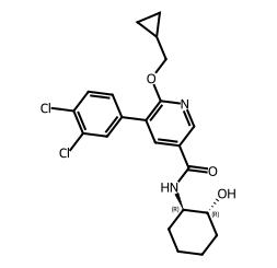 O=C(N[C@@H]1CCCC[C@H]1O)c1cnc(OCC2CC2)c(-c2ccc(Cl)c(Cl)c2)c1